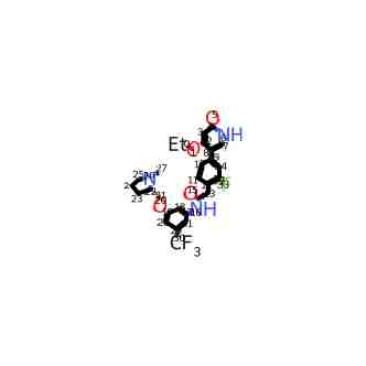 CCOc1cc(=O)[nH]cc1-c1ccc(CC(=O)Nc2cc(OC[C@@H]3CCCN3C)cc(C(F)(F)F)c2)c(F)c1